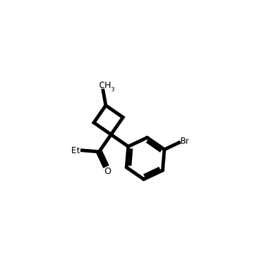 CCC(=O)C1(c2cccc(Br)c2)CC(C)C1